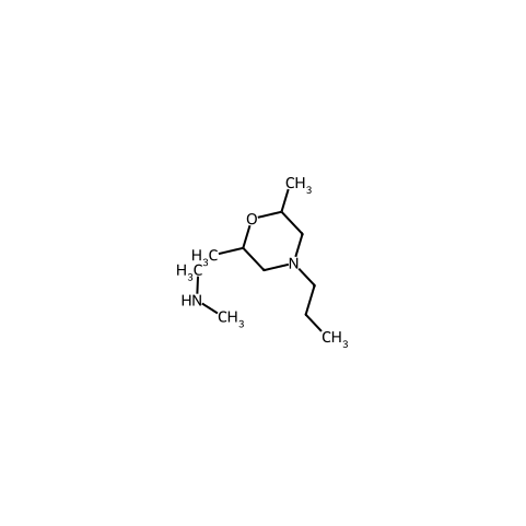 CCCN1CC(C)OC(C)C1.CNC